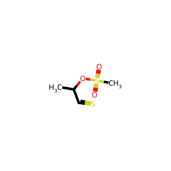 CC(C=S)OS(C)(=O)=O